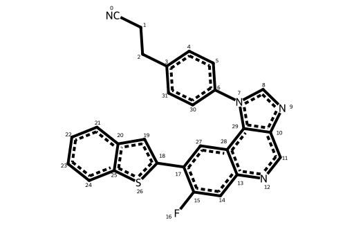 N#CCCc1ccc(-n2cnc3cnc4cc(F)c(-c5cc6ccccc6s5)cc4c32)cc1